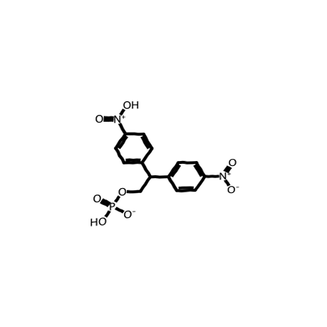 O=[N+]([O-])c1ccc(C(COP(=O)([O-])O)c2ccc([N+](=O)O)cc2)cc1